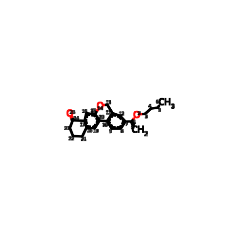 C=C(OCCCC)c1ccc2c(c1)COc1cc3c(cc1-2)CCCC3=O